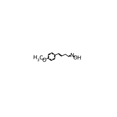 COc1ccc(C=CCC=NO)cc1